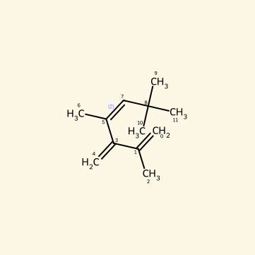 C=C(C)C(=C)/C(C)=C\C(C)(C)C